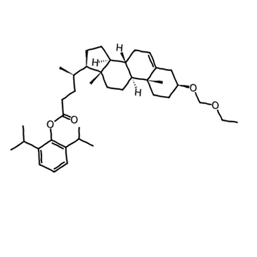 CCOCO[C@H]1CC[C@@]2(C)C(=CC[C@H]3[C@@H]4CC[C@H]([C@H](C)CCC(=O)Oc5c(C(C)C)cccc5C(C)C)[C@@]4(C)CC[C@@H]32)C1